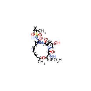 CC[C@@H]1O[C@H](C)CC/C=C\C2CC2(C(=O)NS(=O)(=O)C2(C)CC2)NC(=O)[C@@H]2C[C@@H](O)CN2C(=O)[C@H]1NC(=O)O